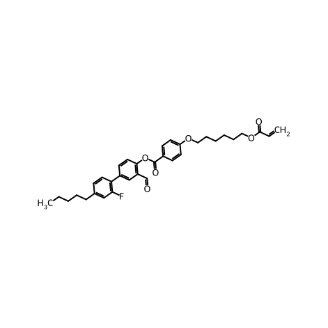 C=CC(=O)OCCCCCCOc1ccc(C(=O)Oc2ccc(-c3ccc(CCCCC)cc3F)cc2C=O)cc1